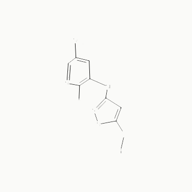 CC(C)Oc1cc(Nc2cc([N+](=O)[O-])cnc2Cl)n[nH]1